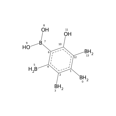 Bc1c(B)c(B)c(B(O)O)c(O)c1B